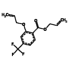 C=CCOC(=O)c1ccc(C(F)(F)F)cc1OCC=C